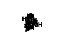 CCn1ccc2cc(Nc3cnccn3)nc(N[C@H]3CCC[C@@H]3O)c2c1=O